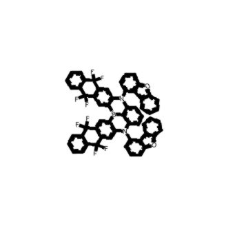 FC1(F)c2ccccc2C(F)(F)c2cc3c(cc21)B1c2cc4c(cc2N(c2cccc5oc6ccccc6c25)c2cccc(c21)N3c1cccc2oc3ccccc3c12)C(F)(F)c1ccccc1C4(F)F